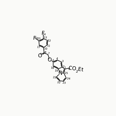 CCOC(=O)c1c2ccc(OCC(=O)c3ccc(F)c(F)c3)cc2n2ccccc12